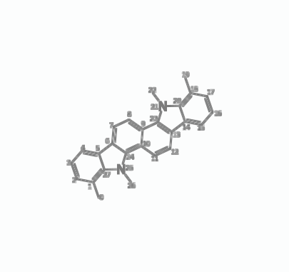 Cc1cccc2c3ccc4c(ccc5c6cccc(C)c6n(C)c54)c3n(C)c12